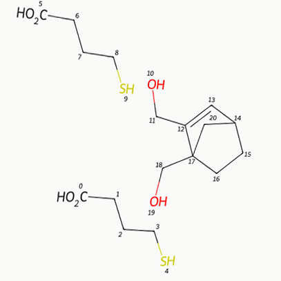 O=C(O)CCCS.O=C(O)CCCS.OCC1=CC2CCC1(CO)C2